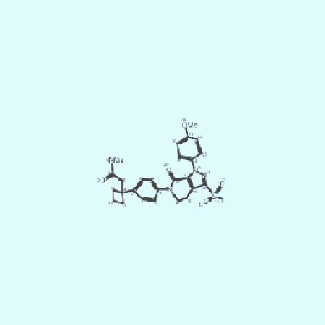 CNC(=O)CC1(c2ccc(N3CCc4c(S(C)(=O)=O)nn(-c5ccc(OC)cc5)c4C3=O)cc2)CCC1